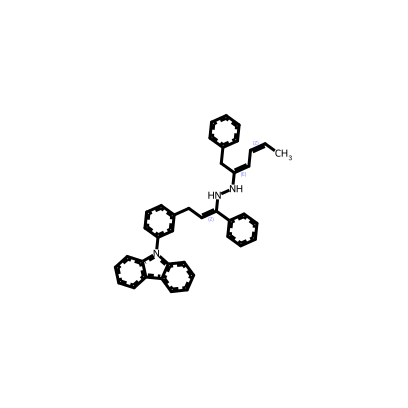 C/C=C\C=C(/Cc1ccccc1)NN/C(=C\Cc1cccc(-n2c3ccccc3c3ccccc32)c1)c1ccccc1